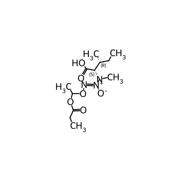 CCC(=O)OC(C)ON=[N+]([O-])N(C)[C@H](C(=O)O)[C@H](C)CC